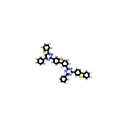 c1ccc(-c2nc(-c3ccc4c(c3)sc3ccccc34)nc(-c3ccc4sc5cc(-c6nc(-c7ccccc7)c7sc8ccccc8c7n6)ccc5c4c3)n2)cc1